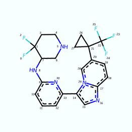 FC1(F)CCNCC1Nc1cccc(-c2cnc3ccc(C4(C(F)(F)F)CC4)cn23)n1